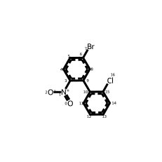 O=[N+]([O-])c1ccc(Br)cc1-c1ccccc1Cl